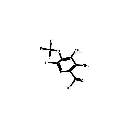 Cc1c(N)c(C(=O)O)cc(Br)c1OC(F)(F)F